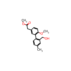 COC(=O)Cc1ccc(OC)c(-c2ccc(C)cc2CO)c1